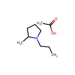 CC(=O)O.CCCN1CCCC1C